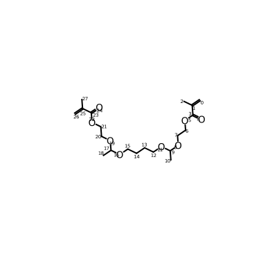 C=C(C)C(=O)OCCOC(C)OCCCCOC(C)OCCOC(=O)C(=C)C